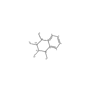 CC1c2ccccc2C(C)C(C)C1C